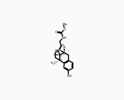 CN1CC[C@]2(C)c3cc(O)ccc3C[C@@H]1[C@H]2NCCNC(=O)OC(C)(C)C